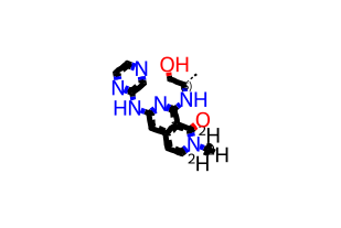 [2H]C([2H])([2H])n1ccc2cc(Nc3cnccn3)nc(N[C@@H](C)CO)c2c1=O